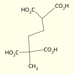 CC(CCC(C(=O)O)C(=O)O)(C(=O)O)C(=O)O